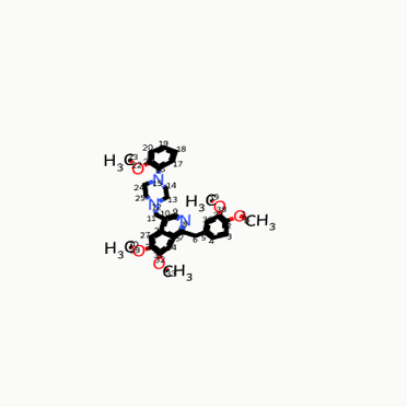 COc1ccc(Cc2ncc(CN3CCN(c4ccccc4OC)CC3)c3cc(OC)c(OC)cc23)cc1OC